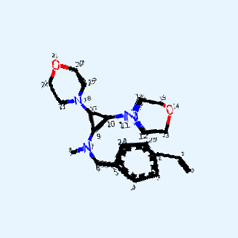 C=Cc1ccc(CN(C)C2C(N3CCOCC3)C2N2CCOCC2)cc1